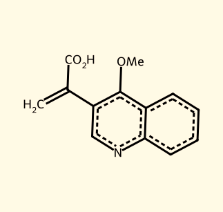 C=C(C(=O)O)c1cnc2ccccc2c1OC